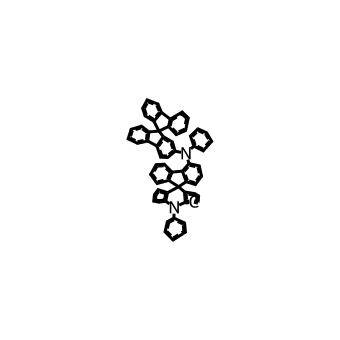 c1ccc(N(c2ccc3c(c2)C2(c4ccccc4-c4ccccc42)c2ccccc2-3)c2cccc3c2-c2ccccc2C32c3ccccc3N(c3ccccc3)c3ccccc32)cc1